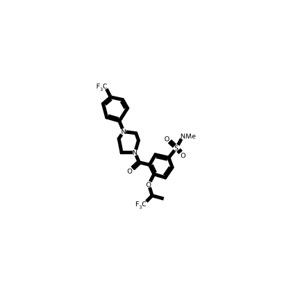 CNS(=O)(=O)c1ccc(OC(C)C(F)(F)F)c(C(=O)N2CCN(c3ccc(C(F)(F)F)cc3)CC2)c1